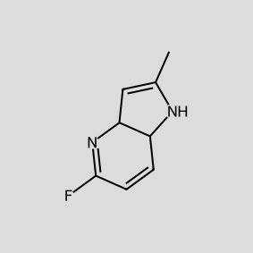 CC1=CC2N=C(F)C=CC2N1